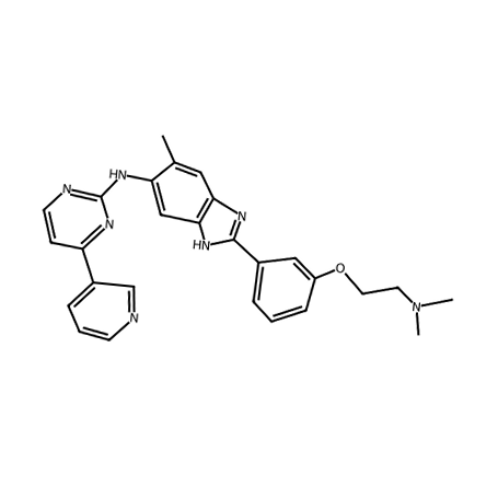 Cc1cc2nc(-c3cccc(OCCN(C)C)c3)[nH]c2cc1Nc1nccc(-c2cccnc2)n1